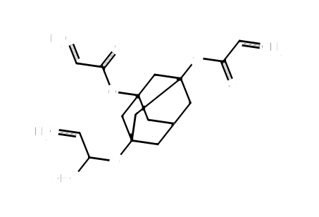 C=CC(=O)OC12CC3CC(OC(=O)C=C)(C1)CC(OC(C=C)C=O)(C3)C2